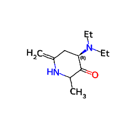 C=C1C[C@@H](N(CC)CC)C(=O)C(C)N1